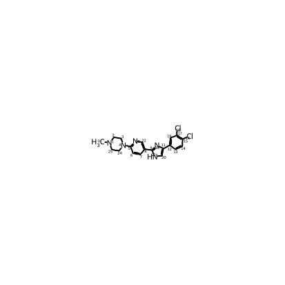 CN1CCN(c2ccc(-c3nc(-c4ccc(Cl)c(Cl)c4)c[nH]3)cn2)CC1